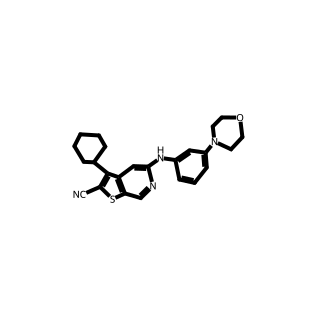 N#Cc1sc2cnc(Nc3cccc(N4CCOCC4)c3)cc2c1C1CCCCC1